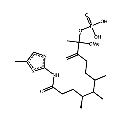 C=C(CCC(C)C(C)[C@@H](C)CCC(=O)Nc1ncc(C)s1)C(C)(OC)OP(=O)(O)O